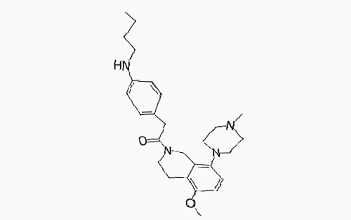 CCCCNc1ccc(CC(=O)N2CCc3c(OC)ccc(N4CCN(C)CC4)c3C2)cc1